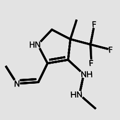 C/N=C\C1=C(NNC)C(C)(C(F)(F)F)CN1